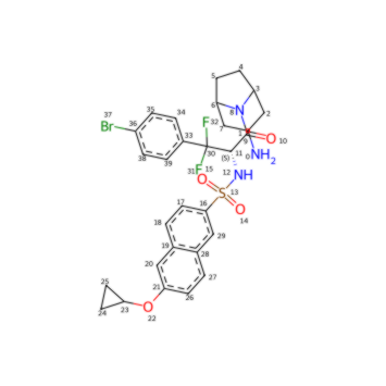 NC1CC2CCC(C1)N2C(=O)[C@H](NS(=O)(=O)c1ccc2cc(OC3CC3)ccc2c1)C(F)(F)c1ccc(Br)cc1